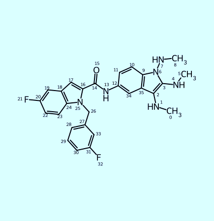 CNc1c(NC)n(NC)c2ccc(NC(=O)c3cc4cc(F)ccc4n3Cc3cccc(F)c3)cc12